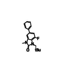 Cn1c(=O)n(CC(C)(C)C)c2c(F)cc(-c3ccccc3)cc21